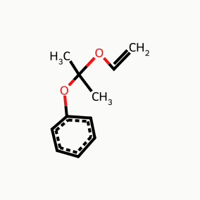 C=COC(C)(C)Oc1ccccc1